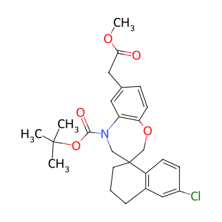 COC(=O)Cc1ccc2c(c1)N(C(=O)OC(C)(C)C)CC1(CCCc3cc(Cl)ccc31)CO2